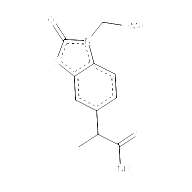 COCn1c(=O)sc2cc(C(C)C(N)=O)ccc21